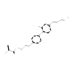 C=C(C)C(=O)OCCCc1ccc(-c2ccc(CCCOC)cc2O)cc1